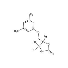 [2H]C1([2H])NC(=O)OC1([2H])COc1cc(C)cc(C)c1